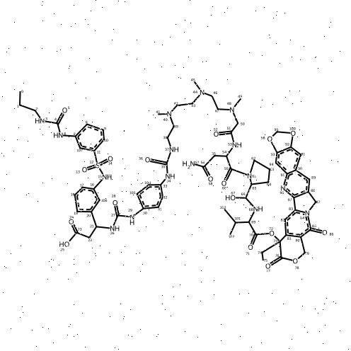 CCCNC(=O)Nc1cccc(S(=O)(=O)Nc2cccc(C(CC(=O)O)NC(=O)Nc3ccc(NC(=O)NCCN(C)CCN(C)CCN(C)CC(=O)NC(CC(N)=O)C(=O)N4CCCC4C(O)NC(C(=O)OC4(CC)C(=O)OCc5c4cc4n(c5=O)Cc5cc6cc7c(cc6nc5-4)OCO7)C(C)C)cc3)c2)c1